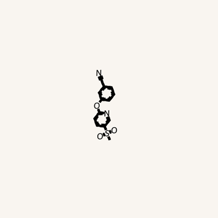 CS(=O)(=O)c1ccc(Oc2cccc(C#N)c2)nc1